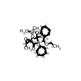 CCOC(c1ccccc1)[N+](C(=O)[C@@]1(O[SiH](C)C)O[C@@H]1C)(c1ccccc1)C(C)(C)C